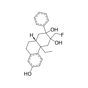 CCC12CC(O)(CF)C(O)(c3ccccc3)C[C@H]1CCc1cc(O)ccc12